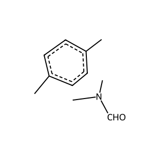 CN(C)C=O.Cc1ccc(C)cc1